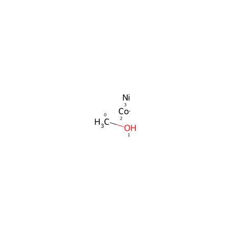 CO.[Co].[Ni]